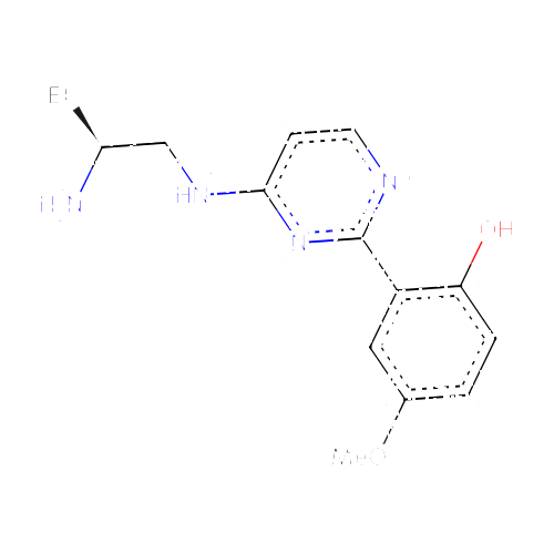 CC[C@H](N)CNc1ccnc(-c2cc(OC)ccc2O)n1